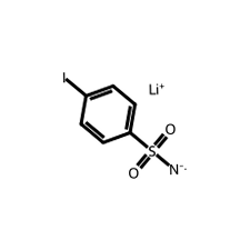 [Li+].[N-]S(=O)(=O)c1ccc(I)cc1